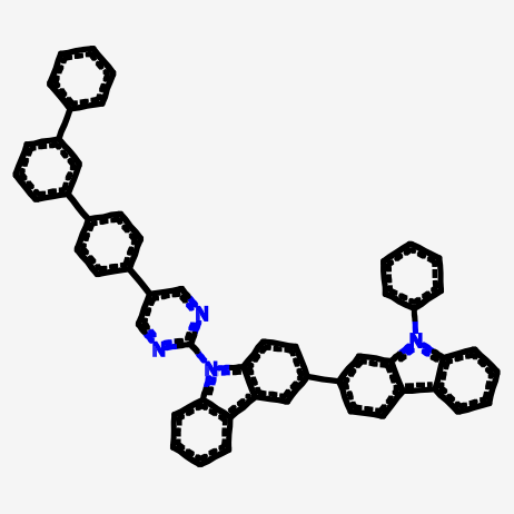 c1ccc(-c2cccc(-c3ccc(-c4cnc(-n5c6ccccc6c6cc(-c7ccc8c9ccccc9n(-c9ccccc9)c8c7)ccc65)nc4)cc3)c2)cc1